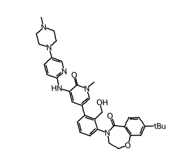 CN1CCN(c2ccc(Nc3cc(-c4cccc(N5CCOc6cc(C(C)(C)C)ccc6C5=O)c4CO)cn(C)c3=O)nc2)CC1